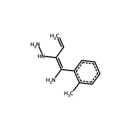 C=C/C(NN)=C(/N)c1ccccc1C